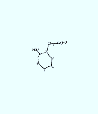 O=COC1CCCCC1S